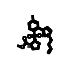 C=CCCn1ccc(-c2cc(C)ccc2S(=O)(=O)N2CCC[C@H]2C(=O)OC)n1